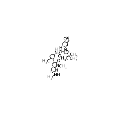 CNc1ncc2cc(-c3cc(NC(=O)Nc4cc(C(C)(C)C)nn4-c4ccc5oncc5c4)ccc3C)c(=O)n(C)c2n1